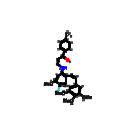 COc1cc(N/C=C\C(=O)c2ccc(C(F)(F)F)cc2)c(/C=C\c2cc(OC)c(OC)c(OC)c2)cc1F